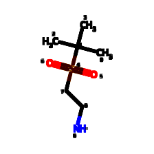 CC(C)(C)S(=O)(=O)CC[NH]